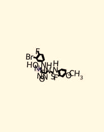 COc1ccc(NC(=S)Nc2nonc2/C(=N/O)Nc2ccc(F)c(Br)c2)c(F)c1